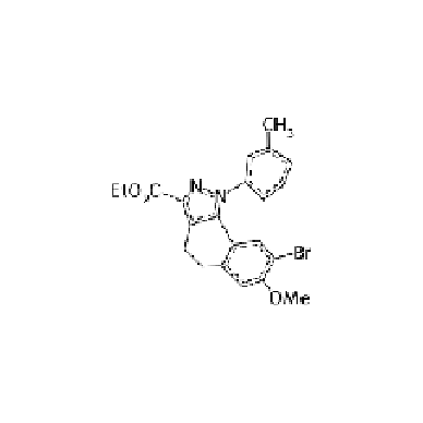 CCOC(=O)c1nn(-c2cccc(C)c2)c2c1CCc1cc(OC)c(Br)cc1-2